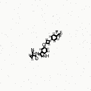 N#CC1(C(=O)Nc2c[nH]c3ccc(O[C@H]4C[C@@H](c5ccc(C(F)(F)F)cc5)C4)cc23)CC1